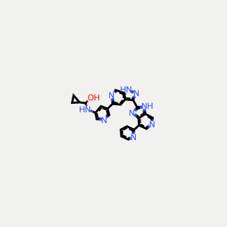 OC(Nc1cncc(-c2cc3c(-c4nc5c(-c6ccccn6)cncc5[nH]4)n[nH]c3cn2)c1)C1CC1